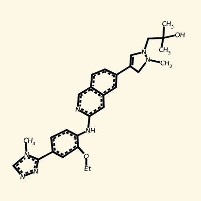 CCOc1cc(-c2nncn2C)ccc1Nc1cc2cc(C3=CN(CC(C)(C)O)N(C)C3)ccc2cn1